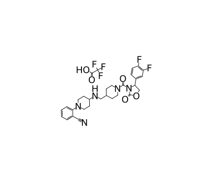 N#Cc1ccccc1N1CCC(NCC2CCN(C(=O)N3C(=O)OCC3c3ccc(F)c(F)c3)CC2)CC1.O=C(O)C(F)(F)F